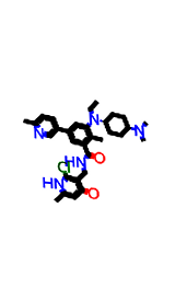 CCN(c1cc(-c2ccc(C)nc2)cc(C(=O)NCc2c(Cl)[nH]c(C)cc2=O)c1C)[C@H]1CC[C@H](N(C)C)CC1